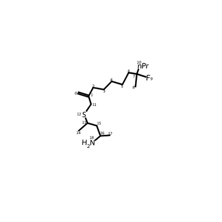 C=C(CCCCCC(C)(F)CCC)CSC(C)CC(C)N